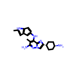 Cc1cc2cc(Nc3c(C)c(N)nn4cc([C@H]5CC[C@H](N)CC5)nc34)ccc2[nH]1